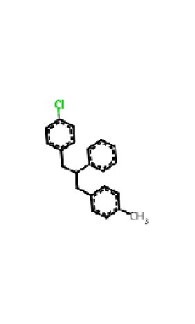 Cc1ccc(C[C](Cc2ccc(Cl)cc2)c2ccccc2)cc1